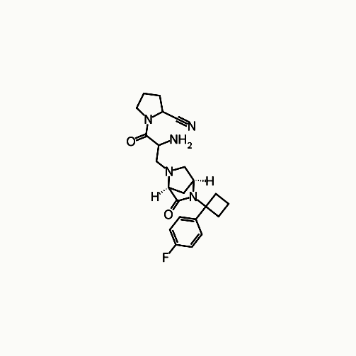 N#CC1CCCN1C(=O)C(N)CN1C[C@@H]2C[C@H]1C(=O)N2C1(c2ccc(F)cc2)CCC1